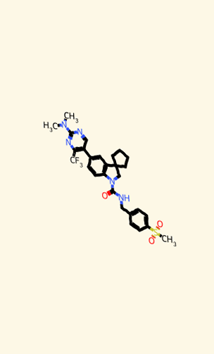 CN(C)c1ncc(-c2ccc3c(c2)C2(CCCC2)CN3C(=O)NCc2ccc(S(C)(=O)=O)cc2)c(C(F)(F)F)n1